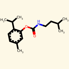 Cc1ccc(C(C)C)c(OC(=O)NCCC(C)C)c1